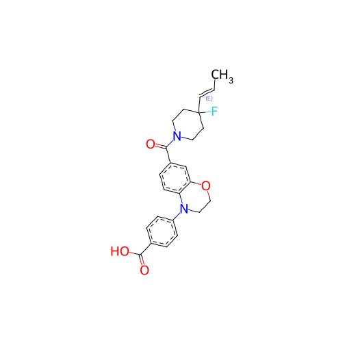 C/C=C/C1(F)CCN(C(=O)c2ccc3c(c2)OCCN3c2ccc(C(=O)O)cc2)CC1